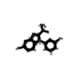 CC(N)c1nc2cc(F)ccc2n1-c1cncc(F)c1